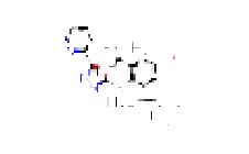 CC(C)(C)c1cc(O)cc(C(C)(C)C)c1Sc1nnc(-c2ccccn2)o1